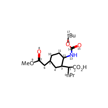 CCCC(C(=O)O)C1CC(CC(=O)OC)CCC1NC(=O)OC(C)(C)C